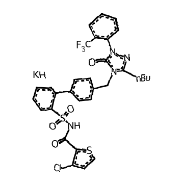 CCCCc1nn(-c2ccccc2C(F)(F)F)c(=O)n1Cc1ccc(-c2ccccc2S(=O)(=O)NC(=O)c2sccc2Cl)cc1.[KH]